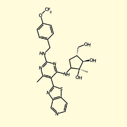 Cc1nc(NCc2ccc(OC(F)(F)F)cc2)nc(NC2C[C@H](CO)[C@@H](O)[C@@]2(C)O)c1-c1nc2cnccc2s1